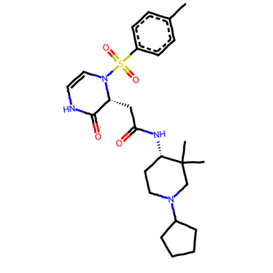 Cc1ccc(S(=O)(=O)N2C=CNC(=O)[C@H]2CC(=O)N[C@H]2CCN(C3CCCC3)CC2(C)C)cc1